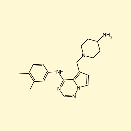 Cc1ccc(Nc2ncnn3ccc(CN4CCC(N)CC4)c23)cc1C